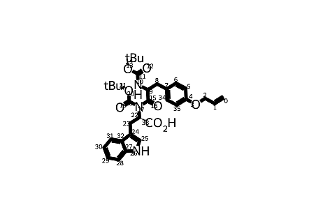 C=CCOc1ccc(CC(NC(=O)OC(C)(C)C)C(=O)N(C(=O)OC(C)(C)C)[C@@H](Cc2c[nH]c3ccccc23)C(=O)O)cc1